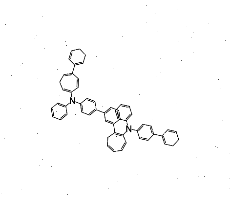 C1=CCC(c2cccc(-c3ccc(N(C4=CCC=C(C5=CCCC=C5)C=C4)c4ccccc4)cc3)c2)=C(N(c2ccccc2)c2ccc(C3=CCCC=C3)cc2)C=C1